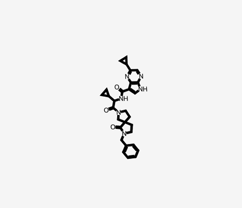 O=C(NC(C(=O)N1CCC2(CCN(Cc3ccccc3)C2=O)C1)C1CC1)c1c[nH]c2ncc(C3CC3)nc12